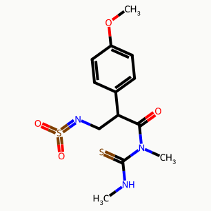 CNC(=S)N(C)C(=O)C(CN=S(=O)=O)c1ccc(OC)cc1